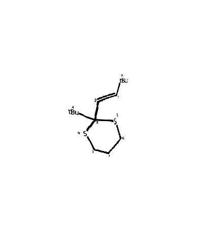 CC(C)(C)C=CC1(C(C)(C)C)SCCCS1